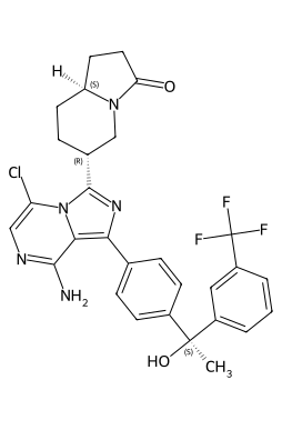 C[C@](O)(c1ccc(-c2nc([C@@H]3CC[C@H]4CCC(=O)N4C3)n3c(Cl)cnc(N)c23)cc1)c1cccc(C(F)(F)F)c1